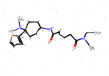 CN(CC(=O)O)C(=O)CCCC(=O)NC1CCC(c2cccs2)(N(C)C)CC1